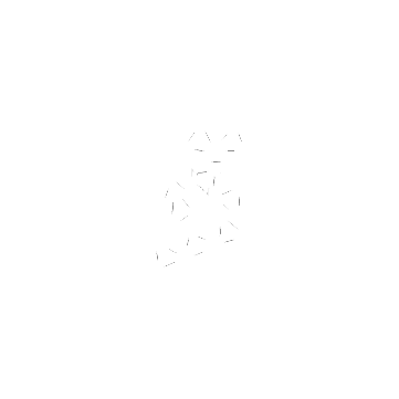 c1ccc(-c2ccc(-c3cccc(-c4cccc(-c5nc(-c6cccc7ccccc67)nc6c5oc5c7ccccc7c7ccccc7c65)c4)c3)cc2)cc1